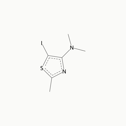 Cc1nc(N(C)C)c(I)s1